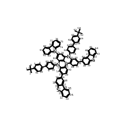 CC(C)(C)c1ccc(-c2ccc(N3c4cc(-c5ccc6sc7ccccc7c6c5)ccc4B4c5ccc(-c6ccc7sc8ccccc8c7c6)cc5N(c5ccc(-c6ccc(C(C)(C)C)cc6)cc5)c5cc(-n6c7ccccc7c7ccccc76)cc3c54)cc2)cc1